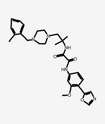 COc1cc(NC(=O)C(=O)NC(C)(C)CN2CCN(Cc3ccccc3C)CC2)ccc1-c1cnco1